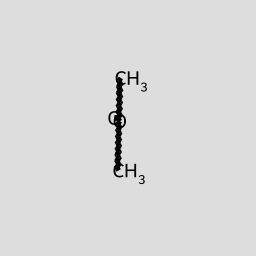 CC/C=C/C=C/CCCCCCCC(=O)OCCCCCCCCC/C=C/C=C/CCC